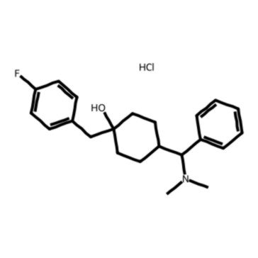 CN(C)C(c1ccccc1)C1CCC(O)(Cc2ccc(F)cc2)CC1.Cl